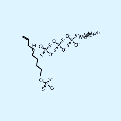 C=CCNCCCCC.[Mo+4].[Mo+4].[Mo+4].[O-]P([O-])(=S)[S-].[O-]P([O-])(=S)[S-].[O-]P([O-])(=S)[S-].[O-]P([O-])(=S)[S-]